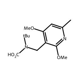 COc1cc(C)nc(OC)c1CN(C(=O)O)C(C)(C)C